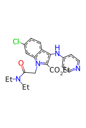 CCOC(=O)c1c(Nc2ccncc2)c2ccc(Cl)cc2n1CC(=O)N(CC)CC